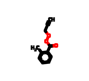 C#CCOOC(=O)c1ccccc1C